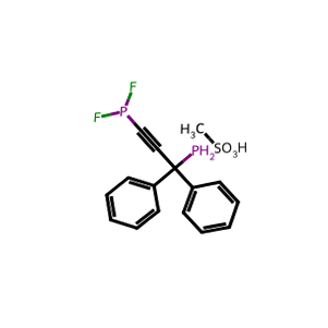 CS(=O)(=O)O.FP(F)C#CC(P)(c1ccccc1)c1ccccc1